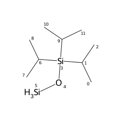 CC(C)[Si](O[SiH3])(C(C)C)C(C)C